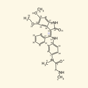 CNCC(=O)N(C)c1ccc(N/C(=C2\C(=O)Nc3cc(OC)c(OC)cc32)c2ccccc2)cc1